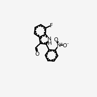 O=Cc1c(-c2ccccc2[N+](=O)[O-])[nH]c2c(F)cccc12